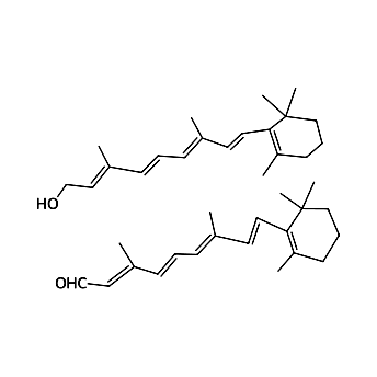 CC1=C(/C=C/C(C)=C/C=C/C(C)=C/C=O)C(C)(C)CCC1.CC1=C(/C=C/C(C)=C/C=C/C(C)=C/CO)C(C)(C)CCC1